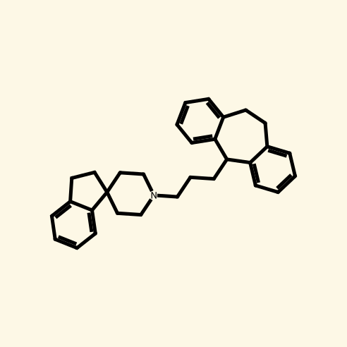 c1ccc2c(c1)CCc1ccccc1C2CCCN1CCC2(CCc3ccccc32)CC1